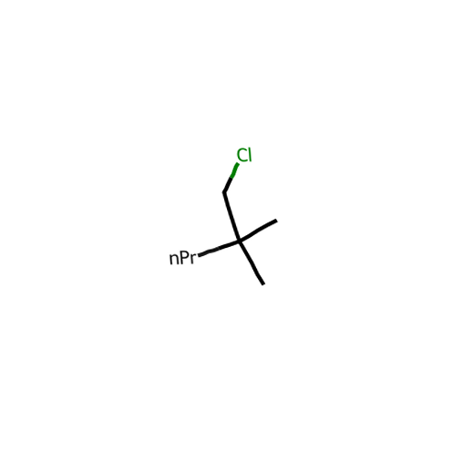 [CH2]CCC(C)(C)CCl